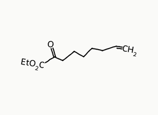 C=CCCCCCC(=O)C(=O)OCC